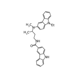 CCn1c2ccccc2c2cc(N(C)C(C)CCNC(=O)c3ccc4[nH]c5ccccc5c4c3)ccc21